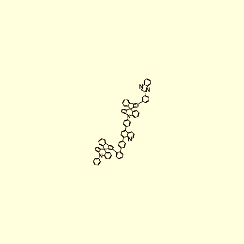 c1ccc(N2c3ccccc3C3(c4ccccc4-c4ccc(-c5ccccc5-c5ccc(-c6ccc(-c7ccc(N8c9ccccc9C9(c%10ccccc%10-c%10cc(-c%11cccc(-c%12cnc%13ccccc%13n%12)c%11)ccc%109)c9ccccc98)cc7)c7cccnc67)cc5)cc43)c3ccccc32)cc1